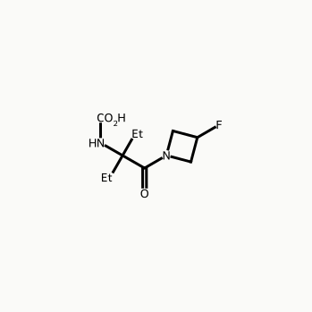 CCC(CC)(NC(=O)O)C(=O)N1CC(F)C1